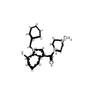 CN1CCN(C(=O)c2cn(CC3CCCCC3)c3c(F)cccc23)CC1